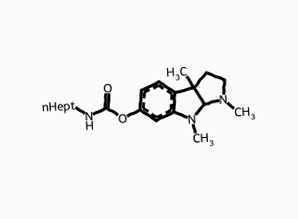 CCCCCCCNC(=O)Oc1ccc2c(c1)N(C)C1N(C)CCC21C